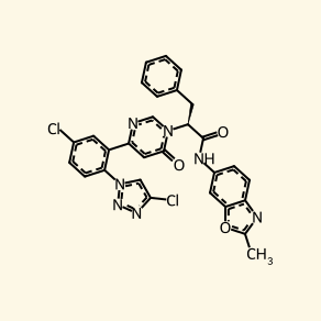 Cc1nc2ccc(NC(=O)[C@H](Cc3ccccc3)n3cnc(-c4cc(Cl)ccc4-n4cc(Cl)nn4)cc3=O)cc2o1